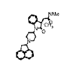 CNC(=O)C[C@@]1(C)C(=O)N(C2CCN([C@@H]3Cc4cccc5cccc3c45)CC2)c2ccccc21